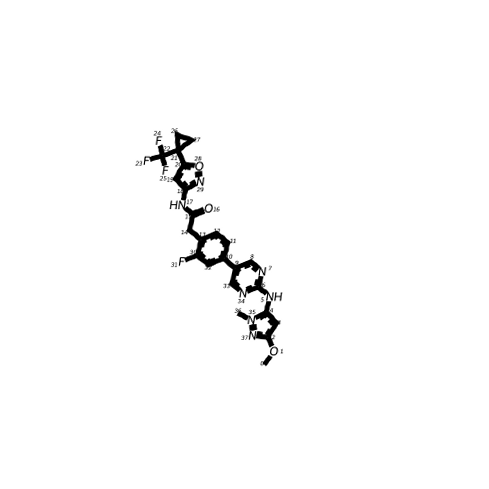 COc1cc(Nc2ncc(-c3ccc(CC(=O)Nc4cc(C5(C(F)(F)F)CC5)on4)c(F)c3)cn2)n(C)n1